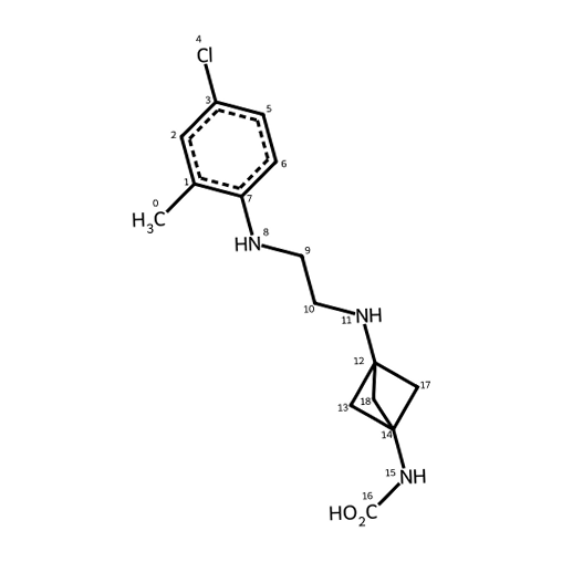 Cc1cc(Cl)ccc1NCCNC12CC(NC(=O)O)(C1)C2